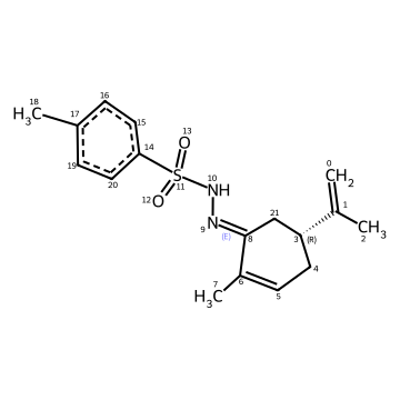 C=C(C)[C@@H]1CC=C(C)/C(=N/NS(=O)(=O)c2ccc(C)cc2)C1